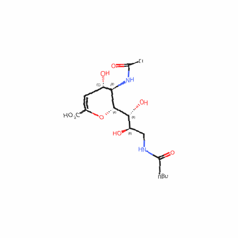 CCCCC(=O)NC[C@@H](O)[C@@H](O)[C@@H]1OC(C(=O)O)=C[C@H](O)[C@H]1NC(=O)CC